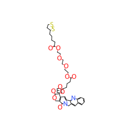 CCC1(OC(=O)CCCC(=O)OCCOCCOCCOC(=O)CCCCC2CCSS2)C(=O)OCc2c1cc1n(c2=O)Cc2cc3ccccc3nc2-1